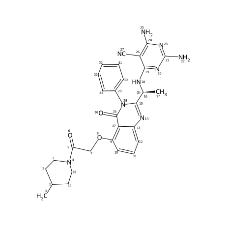 CC1CCN(C(=O)COc2cccc3nc([C@H](C)Nc4nc(N)nc(N)c4C#N)n(-c4ccccc4)c(=O)c23)CC1